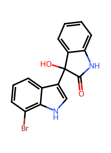 O=C1Nc2ccccc2C1(O)c1c[nH]c2c(Br)cccc12